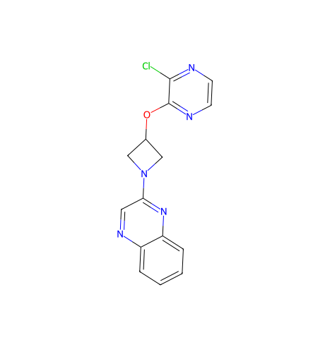 Clc1nccnc1OC1CN(c2cnc3ccccc3n2)C1